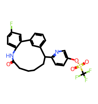 O=C1CCCCC(c2ccc(OS(=O)(=O)C(F)(F)F)cn2)c2cccc(c2)-c2cc(F)ccc2N1